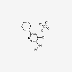 CC(C)Nc1cn[n+](C2CCCCC2)cc1Cl.[O-][Cl+3]([O-])([O-])[O-]